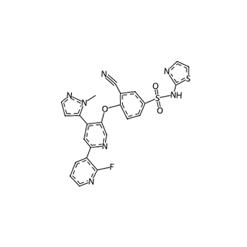 Cn1nccc1-c1cc(-c2cccnc2F)ncc1Oc1ccc(S(=O)(=O)Nc2nccs2)cc1C#N